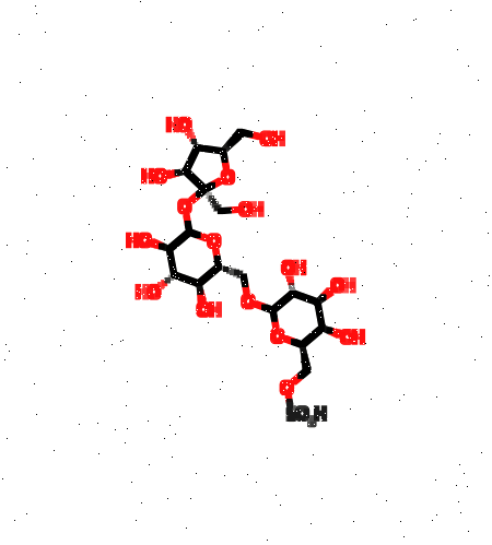 O=S(=O)(O)OC[C@H]1OC(OC[C@H]2OC(O[C@]3(CO)O[C@H](CO)[C@@H](O)[C@@H]3O)[C@H](O)[C@@H](O)[C@@H]2O)[C@H](O)[C@@H](O)[C@H]1O